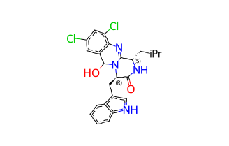 CC(C)C[C@@H]1NC(=O)[C@@H](Cc2c[nH]c3ccccc23)N2C1=Nc1c(Cl)cc(Cl)cc1C2O